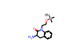 CC(C)(C)[Si](C)(C)OCCN1C(=O)C(N)Cc2ccccc21